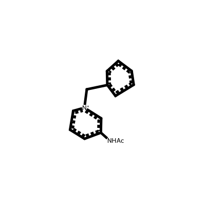 CC(=O)Nc1ccc[n+](Cc2ccccc2)c1